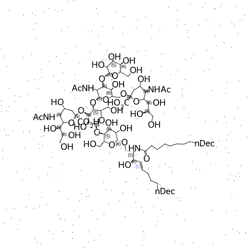 CCCCCCCCCCCCC/C=C/[C@@H](O)[C@H](CO[C@@H]1OC(CO)[C@@H](O[C@@H]2OC(CO)[C@H](O[C@@H]3OC(CO[C@]4(C(=O)O)CC(O)[C@@H](NC(C)=O)C([C@H](O)[C@H](O)CO)O4)[C@H](O)[C@H](O[C@@H]4OC(CO)[C@H](O)[C@H](O)C4O)C3NC(C)=O)[C@H](O[C@]3(C(=O)O)CC(O)[C@@H](NC(C)=O)C([C@H](O)[C@H](O)CO)O3)C2O)[C@H](O)C1O)NC(=O)CCCCCCCCCCCCCCCCC